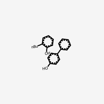 CCCCc1ccccc1O.Oc1ccc(-c2ccccc2)cc1